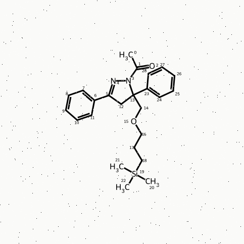 CC(=O)N1N=C(c2ccccc2)CC1(COCCC[Si](C)(C)C)c1ccccc1